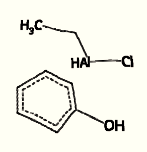 C[CH2][AlH][Cl].Oc1ccccc1